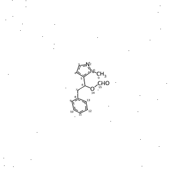 Cn1nccc1C(Cc1ccccc1)OC=O